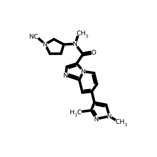 Cc1nn(C)cc1-c1ccn2c(C(=O)N(C)C3CCN(C#N)C3)cnc2c1